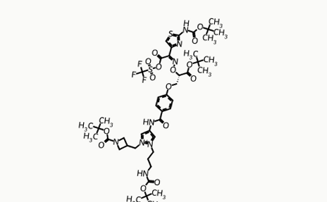 CC(C)(C)OC(=O)NCCCn1cc(NC(=O)c2ccc(OC[C@H](O/N=C(\C(=O)OS(=O)(=O)C(F)(F)F)c3csc(NC(=O)OC(C)(C)C)n3)C(=O)OC(C)(C)C)cc2)c[n+]1CC1CN(C(=O)OC(C)(C)C)C1